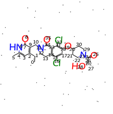 CCc1cc(C)[nH]c(=O)c1CN1CCc2c(Cl)cc(OC3CCN(C(=O)[C@H](C)O)CC3)c(Cl)c2C1=O